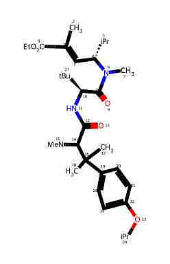 CCOC(=O)/C(C)=C/[C@H](C(C)C)N(C)C(=O)[C@@H](NC(=O)C(NC)C(C)(C)c1ccc(OC(C)C)cc1)C(C)(C)C